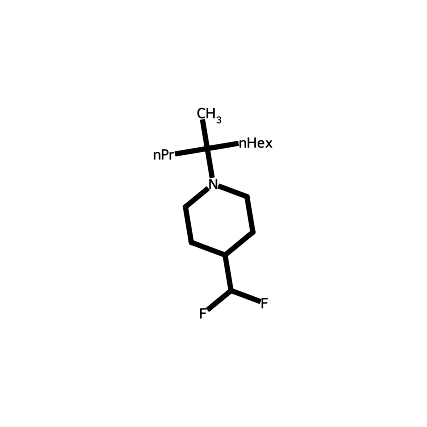 CCCCCCC(C)(CCC)N1CCC(C(F)F)CC1